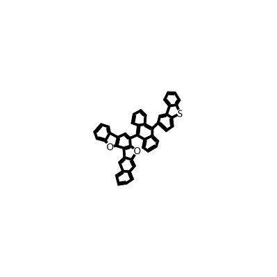 c1ccc2cc3c(cc2c1)oc1c(-c2c4ccccc4c(-c4ccc5sc6ccccc6c5c4)c4ccccc24)cc2c4ccccc4oc2c13